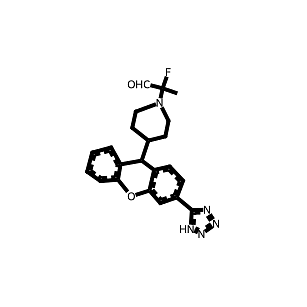 CC(F)(C=O)N1CCC(C2c3ccccc3Oc3cc(-c4nnn[nH]4)ccc32)CC1